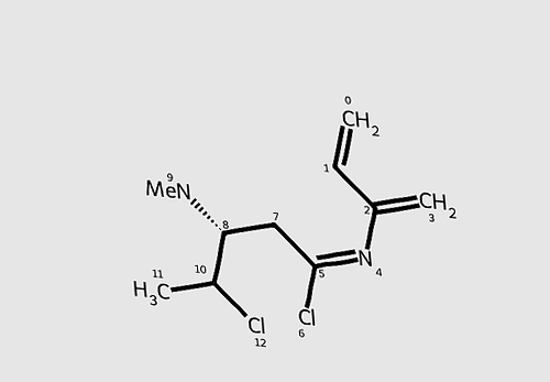 C=CC(=C)/N=C(/Cl)C[C@@H](NC)C(C)Cl